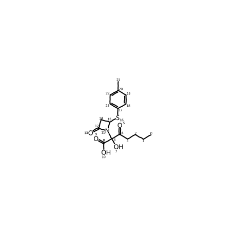 CCCCC(=O)C(O)(C(=O)O)N1C(=O)CC1Sc1ccc(C)cc1